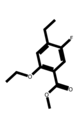 CCOc1cc(CC)c(F)cc1C(=O)OC